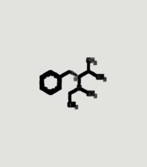 CCN(C)[C@H](Cc1ccccc1)C(C)C